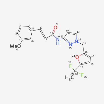 COc1cccc(C=CC(=O)Nc2ccn(Cc3ccc(C(C)(F)F)o3)n2)c1